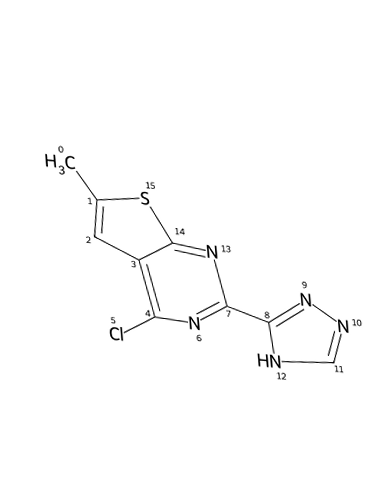 Cc1cc2c(Cl)nc(-c3nnc[nH]3)nc2s1